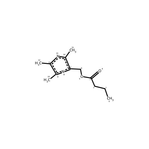 CCCC(=O)OCc1nc(C)c(C)nc1C